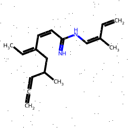 C=C=CC(C)CC(/C=C\C(=N)N/C=C(/C)C=C)=C/C